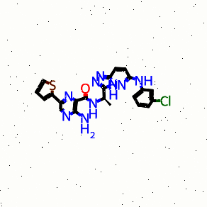 C[C@@H](NC(=O)c1nc(-c2cccs2)cnc1N)c1nnc(/C=C\C(=N)Nc2cccc(Cl)c2)[nH]1